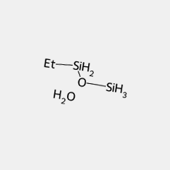 CC[SiH2]O[SiH3].O